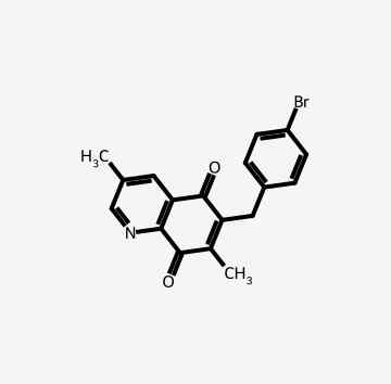 CC1=C(Cc2ccc(Br)cc2)C(=O)c2cc(C)cnc2C1=O